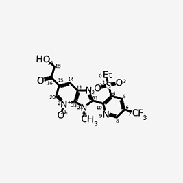 CCS(=O)(=O)c1cc(C(F)(F)F)cnc1-c1nc2cc(C(=O)CO)c[n+]([O-])c2n1C